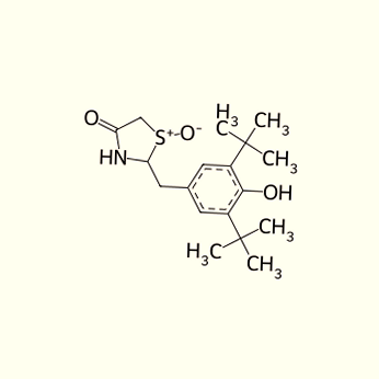 CC(C)(C)c1cc(CC2NC(=O)C[S+]2[O-])cc(C(C)(C)C)c1O